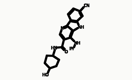 CC(C)Nc1c(C(=O)NC2CCC(O)CC2)cnc2c1[nH]c1cc(C#N)ccc12